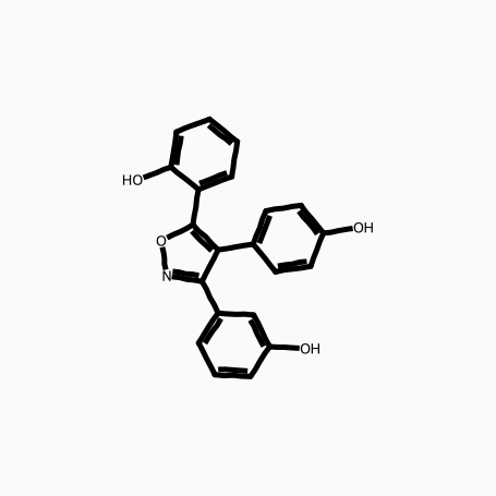 Oc1ccc(-c2c(-c3cccc(O)c3)noc2-c2ccccc2O)cc1